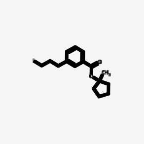 CC1(OC(=O)c2cccc(CCCI)c2)CCCC1